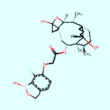 C[C@@H]1CC[C@@]23CCC(O)[C@H]2[C@]1(C)[C@H](OC(=O)COc1ccc2c(c1F)B(O)OC2)C[C@]12CC1(O)O[C@H]2[C@@H]3C